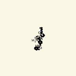 Cc1ccccc1C(=O)NCc1ccc(-c2nn([C@@H]3CCCN(C(=O)/C=C/CN(C)C)C3)c3ncnc(N)c23)cc1